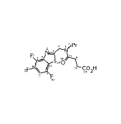 CC(C)N(Cc1nc2c(F)c(F)cc(F)c2s1)C(=O)CCC(=O)O